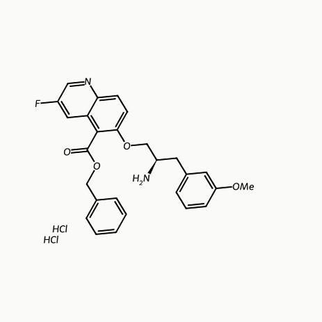 COc1cccc(C[C@@H](N)COc2ccc3ncc(F)cc3c2C(=O)OCc2ccccc2)c1.Cl.Cl